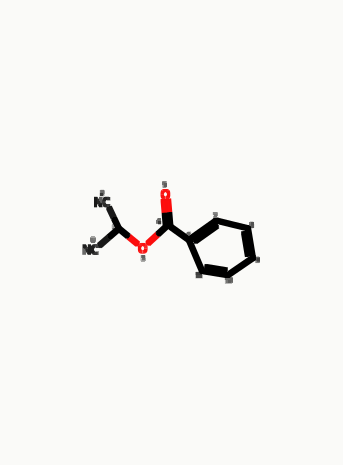 N#CC(C#N)OC(=O)c1ccccc1